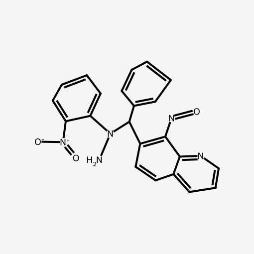 NN(c1ccccc1[N+](=O)[O-])C(c1ccccc1)c1ccc2cccnc2c1N=O